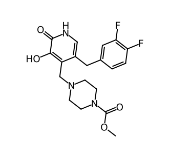 COC(=O)N1CCN(Cc2c(Cc3ccc(F)c(F)c3)c[nH]c(=O)c2O)CC1